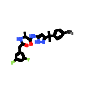 C[C@H](NC(=O)Cc1cc(F)cc(F)c1)C(=O)Nc1cc(C(C)(C)c2ccc(C(F)(F)F)cc2)n[nH]1